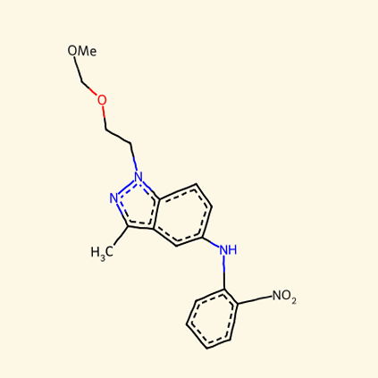 COCOCCn1nc(C)c2cc(Nc3ccccc3[N+](=O)[O-])ccc21